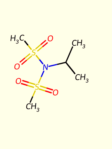 CC(C)N(S(C)(=O)=O)S(C)(=O)=O